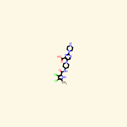 Cc1[nH]c(C(=O)NC2CCN(c3cnc(N4CCNCC4)nc3C(=O)O)CC2)c(Cl)c1Cl